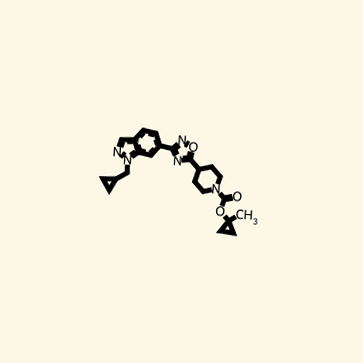 CC1(OC(=O)N2CCC(c3nc(-c4ccc5cnn(CC6CC6)c5c4)no3)CC2)CC1